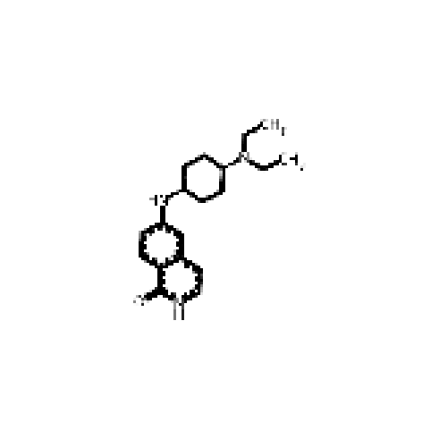 CCN(CC)[C@H]1CC[C@@H](Nc2ccc3c(=O)[nH]ccc3c2)CC1